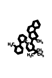 Cc1ccccc1-c1cccc[n+]1-[n+]1ccc(C(C)(C)C)cc1-c1cc2ccc3ccccc3c2cc1C